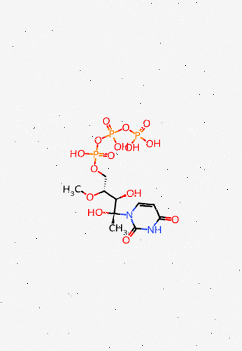 CO[C@H](COP(=O)(O)OP(=O)(O)OP(=O)(O)O)[C@@H](O)[C@@](C)(O)n1ccc(=O)[nH]c1=O